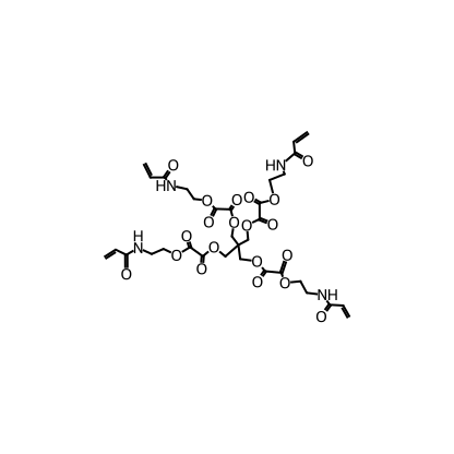 C=CC(=O)NCCOC(=O)C(=O)OCC(COC(=O)C(=O)OCCNC(=O)C=C)(COC(=O)C(=O)OCCNC(=O)C=C)COC(=O)C(=O)OCCNC(=O)C=C